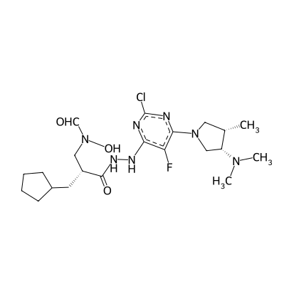 C[C@H]1CN(c2nc(Cl)nc(NNC(=O)[C@H](CC3CCCC3)CN(O)C=O)c2F)C[C@H]1N(C)C